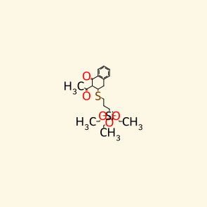 CCO[Si](CCCSC1Cc2ccccc2C(=O)C1C(C)=O)(OCC)OCC